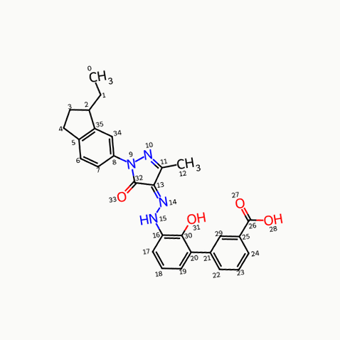 CCC1CCc2ccc(N3N=C(C)C(=NNc4cccc(-c5cccc(C(=O)O)c5)c4O)C3=O)cc21